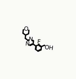 OCc1cccc(-c2cnc(CC3CCOCC3)nc2)c1F